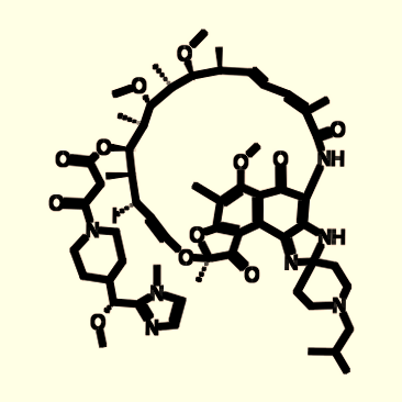 COc1c(C)c2c3c4c1C(=O)C(=C1NC5(CCN(CC(C)C)CC5)N=C14)NC(=O)/C(C)=C\C=C\[C@H](C)[C@H](OC)[C@@H](C)[C@@H](OC)[C@@H](C)[C@H](OC(=O)CC(=O)N1CCC([C@@H](OC)c4nccn4C)CC1)[C@H](C)[C@@H](I)/C=C/O[C@@](C)(O2)C3=O